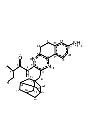 CCC(C)C(=O)Nc1nc2c(nc1CC13CC4CC(CC(C4)C1)C3)-c1ccc(N)cc1CC2